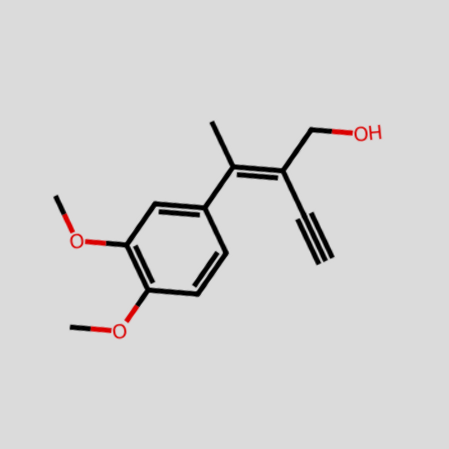 C#C/C(CO)=C(/C)c1ccc(OC)c(OC)c1